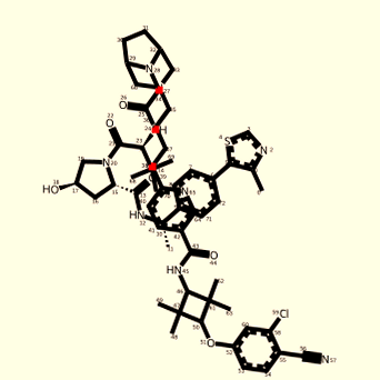 Cc1ncsc1-c1ccc([C@H](C)NC(=O)[C@@H]2C[C@@H](O)CN2C(=O)[C@@H](NC(=O)CN2C3CCC2CN(CCCCc2ccc(C(=O)NC4C(C)(C)C(Oc5ccc(C#N)c(Cl)c5)C4(C)C)cn2)C3)C(C)(C)C)cc1